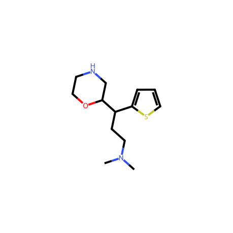 CN(C)CCC(c1cccs1)C1CNCCO1